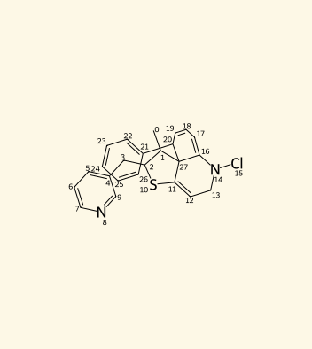 CC1C(Cc2cccnc2)SC2=CCN(Cl)C3=CC=CC(c4ccccc4)C231